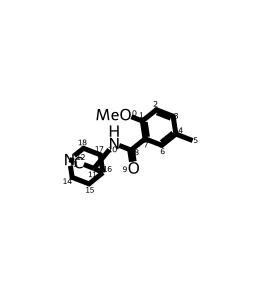 COc1ccc(C)cc1C(=O)NC1CN2CCC1CC2